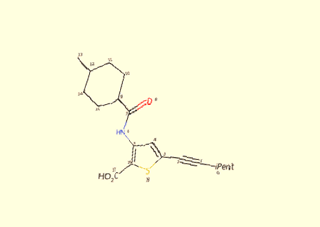 CCCC(C)C#Cc1cc(NC(=O)C2CCC(C)CC2)c(C(=O)O)s1